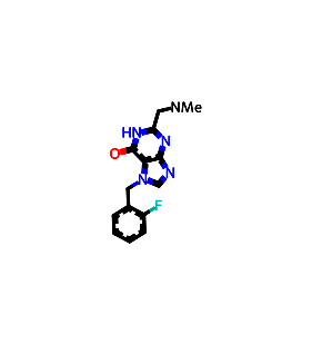 CNCc1nc2ncn(Cc3ccccc3F)c2c(=O)[nH]1